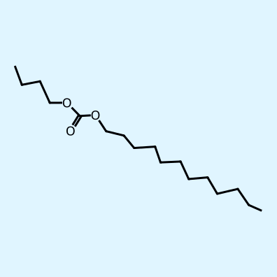 CCCCCCCCCCCCOC(=O)OCCCC